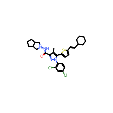 Cc1c(C(=O)NN2CC3CCCC3C2)nn(-c2ccc(Cl)cc2Cl)c1-c1ccc(C=CC2CCCCC2)s1